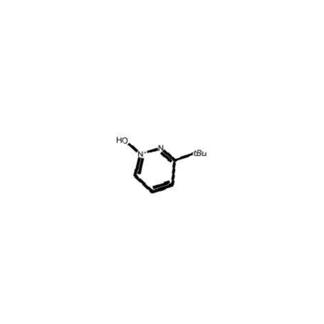 CC(C)(C)c1ccc[n+](O)n1